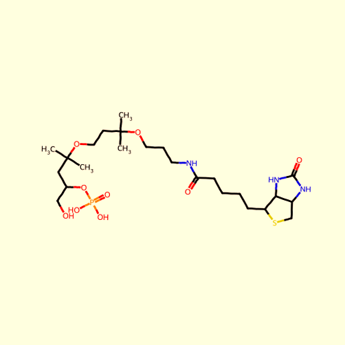 CC(C)(CCOC(C)(C)CC(CO)OP(=O)(O)O)OCCCNC(=O)CCCCC1SCC2NC(=O)NC21